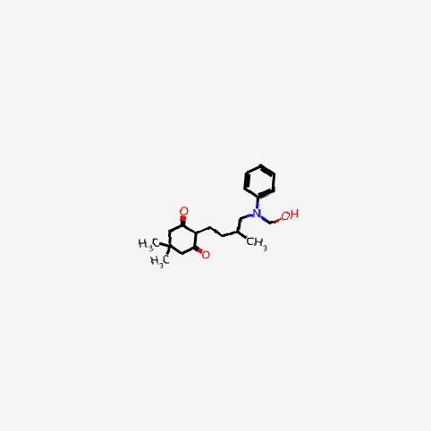 CC(CCC1C(=O)CC(C)(C)CC1=O)CN(CO)c1ccccc1